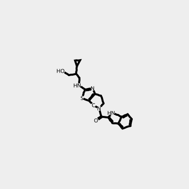 O=C(c1cc2ccccc2[nH]1)N1CCc2nc(NCC(CO)C3CC3)sc2C1